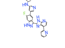 CC(C)Nc1cncc(-c2cc3c(-c4nc5c(-c6ccccn6)ccnc5[nH]4)n[nH]c3cc2F)c1